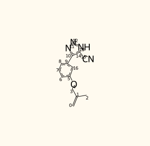 C=C(C)COc1cccc(-c2nn[nH]c2C#N)c1